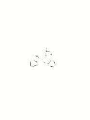 COc1ccc2[nH]c(C)c(C(C(=O)c3ccc(Cl)cc3)c3nc(C)no3)c2c1